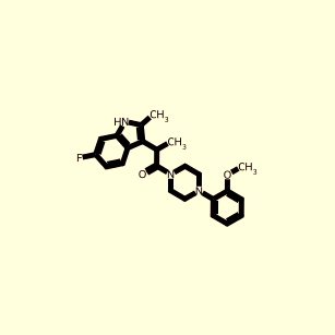 COc1ccccc1N1CCN(C(=O)C(C)c2c(C)[nH]c3cc(F)ccc23)CC1